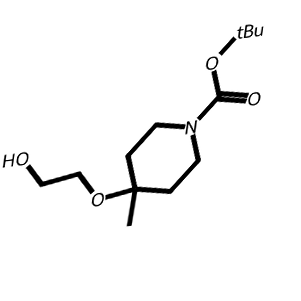 CC(C)(C)OC(=O)N1CCC(C)(OCCO)CC1